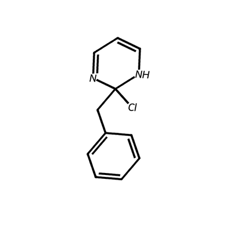 ClC1(Cc2ccccc2)N=CC=CN1